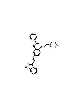 O=C(Nc1cc(/C=C/c2n[nH]c3ccccc23)ccc1OCCN1CCOCC1)c1ccccc1